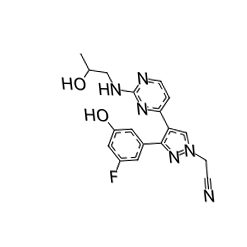 CC(O)CNc1nccc(-c2cn(CC#N)nc2-c2cc(O)cc(F)c2)n1